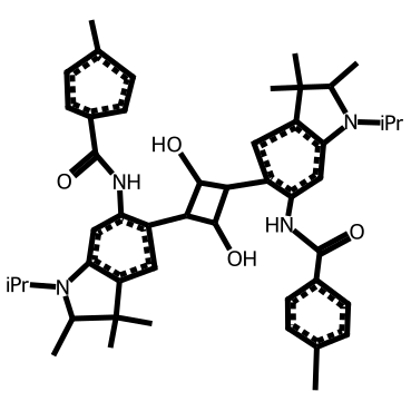 Cc1ccc(C(=O)Nc2cc3c(cc2C2C(O)C(c4cc5c(cc4NC(=O)c4ccc(C)cc4)N(C(C)C)C(C)C5(C)C)C2O)C(C)(C)C(C)N3C(C)C)cc1